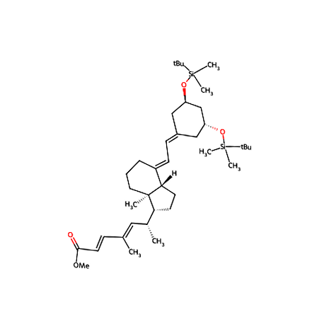 COC(=O)/C=C/C(C)=C/[C@@H](C)[C@H]1CC[C@H]2/C(=C/C=C3C[C@@H](O[Si](C)(C)C(C)(C)C)C[C@H](O[Si](C)(C)C(C)(C)C)C3)CCC[C@]12C